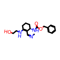 C/N=C\C1=C(NCCO)CCC[C@H]1NC(=O)OCc1ccccc1